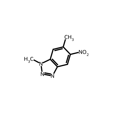 Cc1cc2c(cc1[N+](=O)[O-])nnn2C